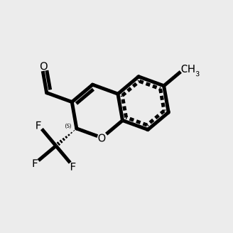 Cc1ccc2c(c1)C=C(C=O)[C@@H](C(F)(F)F)O2